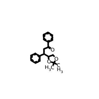 CC1(C)OCC(C(CC(=O)c2ccccc2)c2ccccc2)O1